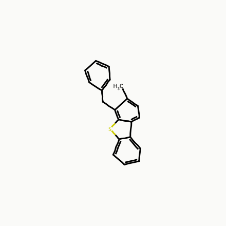 Cc1ccc2c(sc3ccccc32)c1Cc1ccccc1